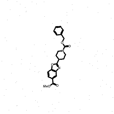 COC(=O)c1ccc2oc(C3CCN(C(=O)OCc4ccccc4)CC3)nc2c1